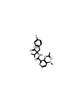 COc1ccnc(C(=O)NC(Cc2ccc(F)cc2)(C(=O)O)C(C)C)c1OC(C)=O